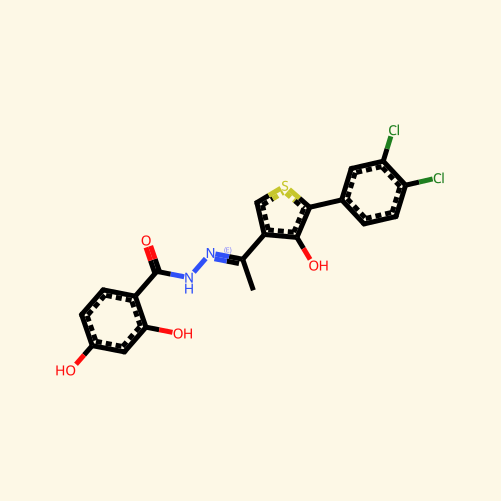 C/C(=N\NC(=O)c1ccc(O)cc1O)c1csc(-c2ccc(Cl)c(Cl)c2)c1O